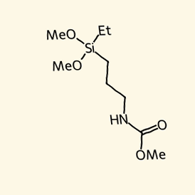 CC[Si](CCCNC(=O)OC)(OC)OC